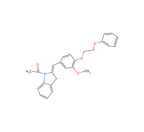 COc1cc(C=C2Cc3ccccc3N2C(C)=O)ccc1OCCOc1ccccc1